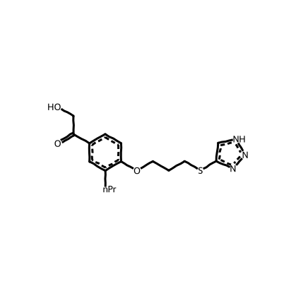 CCCc1cc(C(=O)CO)ccc1OCCCSc1c[nH]nn1